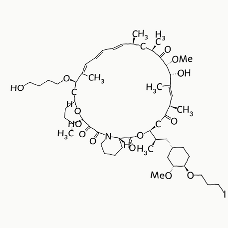 CO[C@@H]1C[C@H](C[C@@H](C)[C@@H]2CC(=O)[C@H](C)/C=C(\C)[C@@H](O)[C@@H](OC)C(=O)[C@H](C)C[C@H](C)/C=C/C=C/C=C(\C)[C@H](OCCCCO)C[C@@H]3CC[C@@H](C)[C@@](O)(O3)C(=O)C(=O)N3CCCC[C@H]3C(=O)O2)CC[C@H]1OCCCI